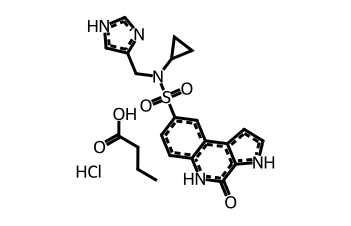 CCCC(=O)O.Cl.O=c1[nH]c2ccc(S(=O)(=O)N(Cc3c[nH]cn3)C3CC3)cc2c2cc[nH]c12